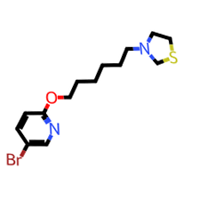 Brc1ccc(OCCCCCCN2CCSC2)nc1